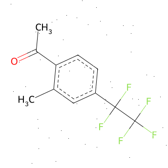 CC(=O)c1ccc(C(F)(F)C(F)(F)F)cc1C